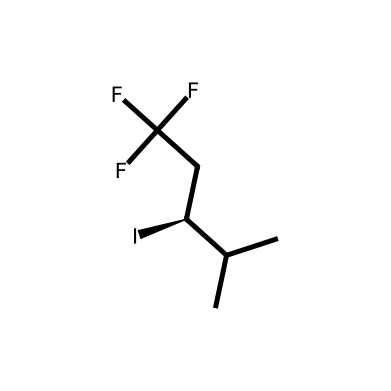 CC(C)[C@@H](I)CC(F)(F)F